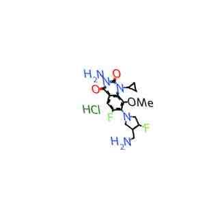 COc1c(N2CC(F)C(CN)C2)c(F)cc2c(=O)n(N)c(=O)n(C3CC3)c12.Cl